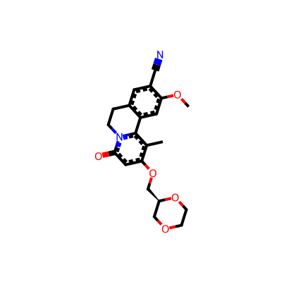 COc1cc2c(cc1C#N)CCn1c-2c(C)c(OC[C@@H]2COCCO2)cc1=O